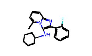 Cc1cccc2nc(-c3ccccc3F)c(NC3CCCCC3)n12